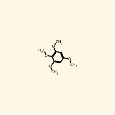 [CH2]Oc1c(OC)cc(OC)cc1OC